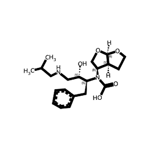 CC(C)CNC[C@H](O)[C@H](Cc1ccccc1)N(C(=O)O)[C@H]1CO[C@H]2OCC[C@H]21